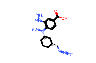 [N-]=[N+]=NC[C@@H]1CCC[C@H](N(N)c2ccc(C(=O)O)cc2NN)C1